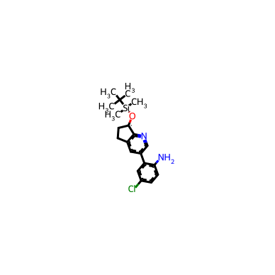 CC(C)(C)[Si](C)(C)O[C]1CCc2cc(-c3cc(Cl)ccc3N)cnc21